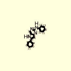 C1=CC(c2cc3nc(Nc4ccccc4)ncc3[nH]2)=CCC1